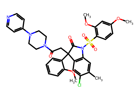 COc1ccc(S(=O)(=O)N2C(=O)C(CC(=O)N3CCN(c4ccncc4)CC3)(c3ccccc3OC)c3cc(Cl)c(C)cc32)c(OC)c1